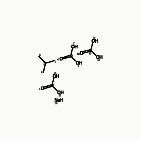 CC(C)C.O=C(O)O.O=C(O)O.O=C(O)O.[NaH]